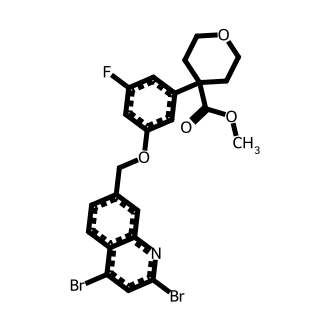 COC(=O)C1(c2cc(F)cc(OCc3ccc4c(Br)cc(Br)nc4c3)c2)CCOCC1